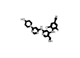 N#Cc1cc(F)c(Nc2cc(Nc3cc(N4CCC(O)CC4)ncn3)ncc2C=N)c(Cl)c1